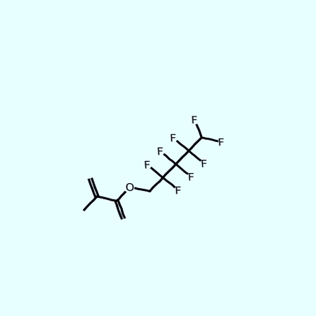 C=C(C)C(=C)OCC(F)(F)C(F)(F)C(F)(F)C(F)F